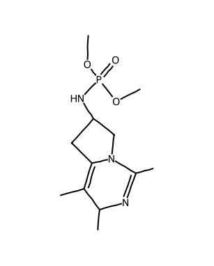 COP(=O)(NC1CC2=C(C)C(C)N=C(C)N2C1)OC